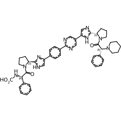 O=C(O)N[C@@H](C(=O)N1CCC[C@H]1c1nc(-c2ccc(-c3ncc(-c4cnc([C@@H]5CCCN5C(=O)[C@@H](c5ccccc5)N5CCCCC5)[nH]4)cn3)cc2)c[nH]1)c1ccccc1